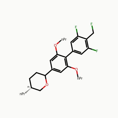 CCCOc1cc(C2CC[C@@H](CCC)CO2)cc(OCCC)c1-c1cc(F)c(CF)c(F)c1